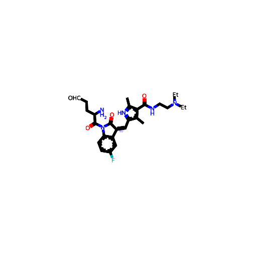 CCN(CC)CCNC(=O)c1c(C)[nH]c(/C=C2\C(=O)N(C(=O)C(N)CCC=O)c3ccc(F)cc32)c1C